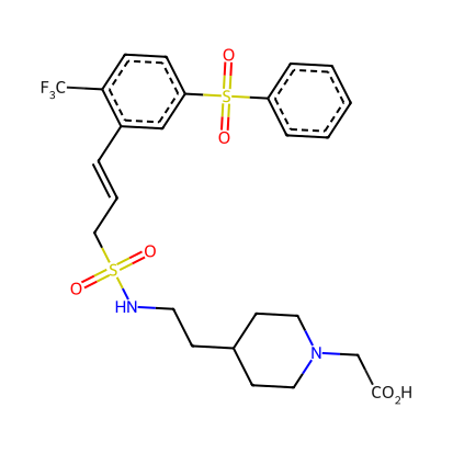 O=C(O)CN1CCC(CCNS(=O)(=O)CC=Cc2cc(S(=O)(=O)c3ccccc3)ccc2C(F)(F)F)CC1